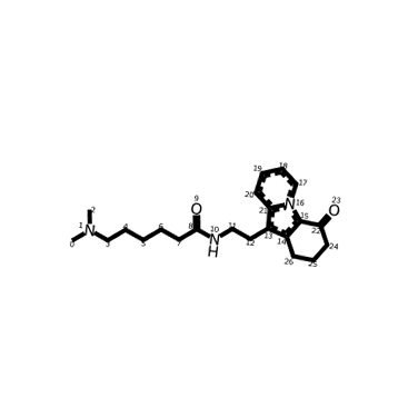 CN(C)CCCCCC(=O)NCCc1c2c(n3ccccc13)C(=O)CCC2